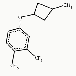 Cc1ccc(OC2CC(C)C2)cc1C(F)(F)F